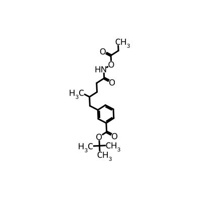 CCC(=O)ONC(=O)CCC(C)Cc1cccc(C(=O)OC(C)(C)C)c1